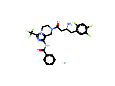 Cl.N[C@@H](CC(=O)N1CCn2c(C(F)(F)F)nc(NC(=O)c3ccccc3)c2C1)Cc1cc(F)c(F)cc1F